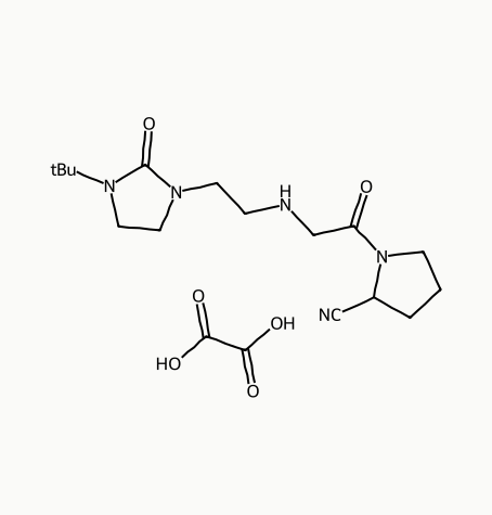 CC(C)(C)N1CCN(CCNCC(=O)N2CCCC2C#N)C1=O.O=C(O)C(=O)O